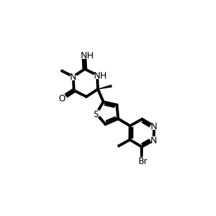 Cc1c(-c2csc([C@]3(C)CC(=O)N(C)C(=N)N3)c2)cnnc1Br